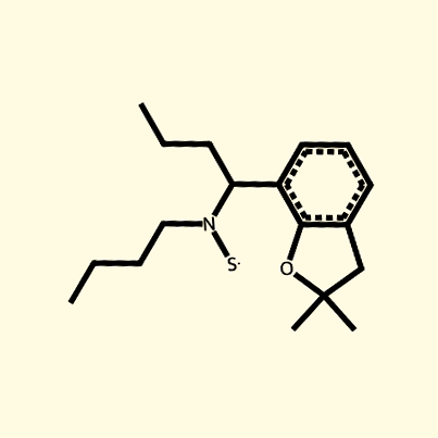 CCCCN([S])C(CCC)c1cccc2c1OC(C)(C)C2